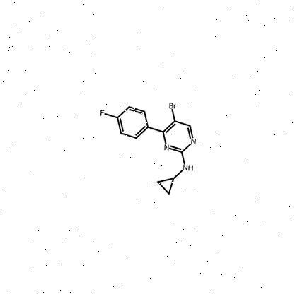 Fc1ccc(-c2nc(NC3CC3)ncc2Br)cc1